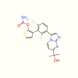 CC(C)(O)c1ccn2c(-c3ccc(F)c(-c4ccsc4OC(N)=O)c3F)cnc2n1